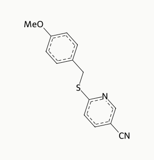 COc1ccc(CSc2ccc(C#N)cn2)cc1